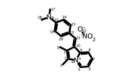 CC1=C(C)[n+]2ccccc2/C1=C/c1ccc(N(C)C)cc1.O=[N+]([O-])[O-]